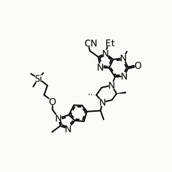 CCn1c(CC#N)nc2c(N3C[C@@H](C)N(C(C)c4ccc5c(c4)nc(C)n5COCC[Si](C)(C)C)C[C@@H]3C)nc(=O)n(C)c21